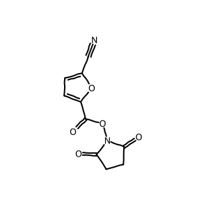 N#Cc1ccc(C(=O)ON2C(=O)CCC2=O)o1